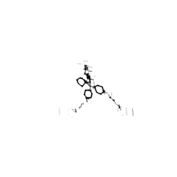 CCOCCOc1ccc(S(OS(=O)(=O)CC(F)(F)F)(c2ccccc2)c2ccc(OCCOCC)cc2)cc1